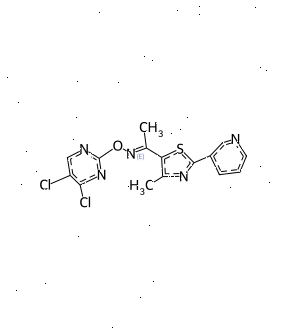 C/C(=N\Oc1ncc(Cl)c(Cl)n1)c1sc(-c2cccnc2)nc1C